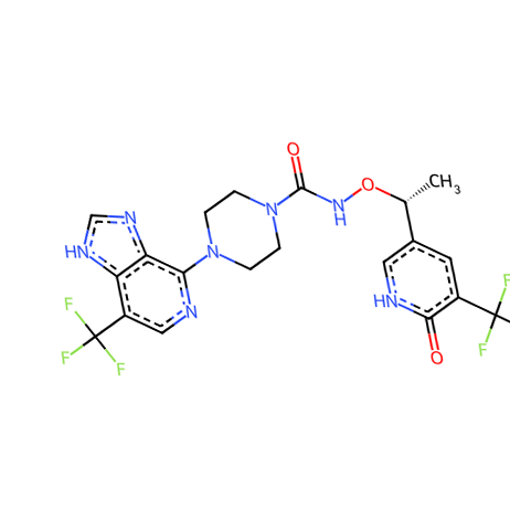 C[C@@H](ONC(=O)N1CCN(c2ncc(C(F)(F)F)c3[nH]cnc23)CC1)c1c[nH]c(=O)c(C(F)(F)F)c1